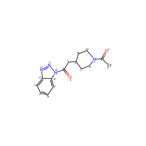 CCC(=O)N1CCC(CC(=O)n2nnc3ccccc32)CC1